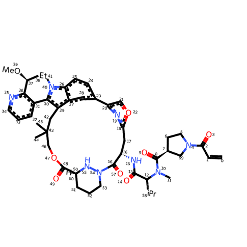 C=CC(=O)N1CC[C@H](C(=O)N(C)C(C(=O)N[C@H]2Cc3nc(co3)-c3ccc4c(c3)c(c(-c3cccnc3[C@H](C)OC)n4CC)CC(C)(C)COC(=O)[C@@H]3CCCN(N3)C2=O)C(C)C)C1